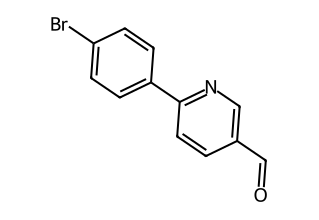 O=Cc1ccc(-c2ccc(Br)cc2)nc1